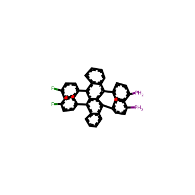 Fc1ccc(-c2c3ccccc3c(-c3ccc(P)cc3)c3c(-c4ccc(P)cc4)c4ccccc4c(-c4ccc(F)cc4)c23)cc1